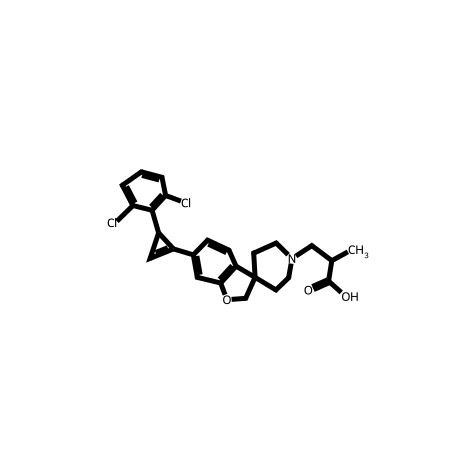 CC(CN1CCC2(CC1)COc1cc(C3=CC3c3c(Cl)cccc3Cl)ccc12)C(=O)O